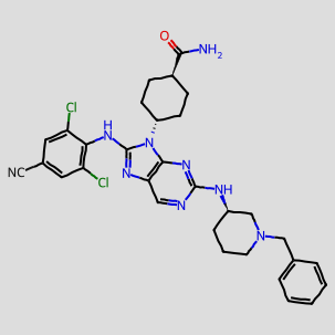 N#Cc1cc(Cl)c(Nc2nc3cnc(N[C@@H]4CCCN(Cc5ccccc5)C4)nc3n2[C@H]2CC[C@H](C(N)=O)CC2)c(Cl)c1